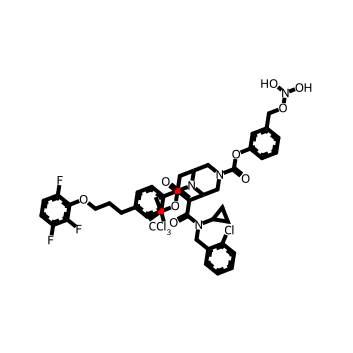 CC(C)(OC(=O)N1C2CC(c3ccc(CCCOc4c(F)ccc(F)c4F)cc3)=C(C(=O)N(Cc3ccccc3Cl)C3CC3)C1CN(C(=O)Oc1cccc(CON(O)O)c1)C2)C(Cl)(Cl)Cl